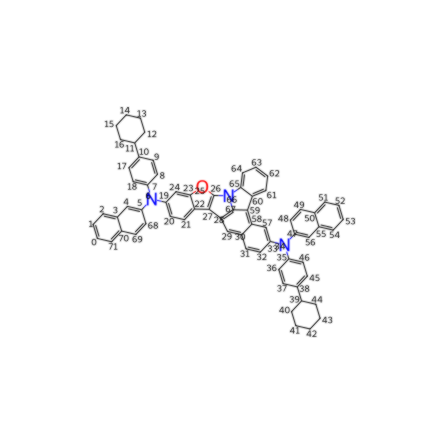 c1ccc2cc(N(c3ccc(C4CCCCC4)cc3)c3ccc4c(c3)oc3c4c4cc5ccc(N(c6ccc(C7CCCCC7)cc6)c6ccc7ccccc7c6)cc5c5c6ccccc6n3c45)ccc2c1